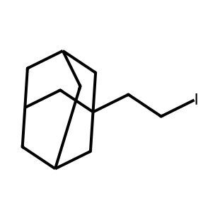 ICCC12CC3CC(CC(C3)C1)C2